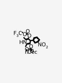 CCCCCCCCCCOC(=O)OC1=C(C)NC(C)=C(OC(=O)OCC(F)(F)F)C1c1cccc([N+](=O)[O-])c1